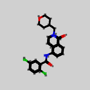 O=C(Nc1cccc2c(=O)n(CC3CCOCC3)ccc12)c1cc(Cl)ccc1Cl